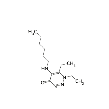 CCCCCCNc1c(CC)n(CC)nnc1=O